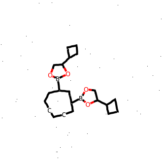 C1CCCC(B2OCC(C3CCC3)O2)CC(B2OCC(C3CCC3)O2)CC1